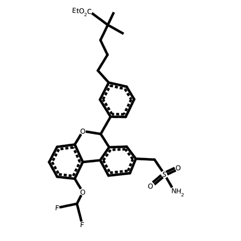 CCOC(=O)C(C)(C)CCCc1cccc(C2Oc3cccc(OC(F)F)c3-c3ccc(CS(N)(=O)=O)cc32)c1